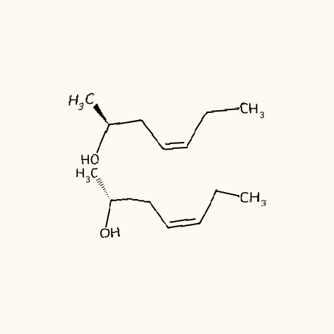 CC/C=C\C[C@@H](C)O.CC/C=C\C[C@H](C)O